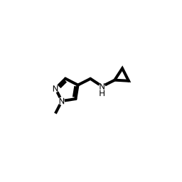 Cn1cc(CNC2CC2)cn1